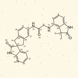 CC1(C)C(=O)Nc2cccc(NCC(=O)Nc3ccc4c(c3)CC3(C4)C(=O)Nc4ncccc43)c21